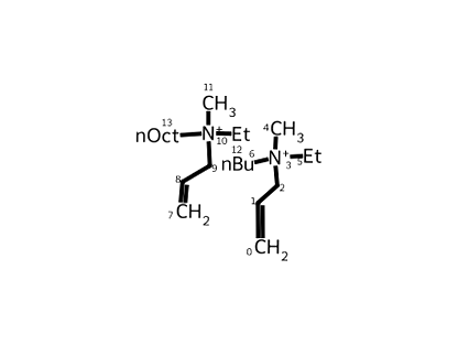 C=CC[N+](C)(CC)CCCC.C=CC[N+](C)(CC)CCCCCCCC